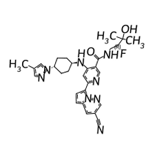 Cc1cnn([C@H]2CC[C@H](Nc3cc(-c4ccc5cc(C#N)cnn45)ncc3C(=O)NC[C@@H](F)C(C)(C)O)CC2)c1